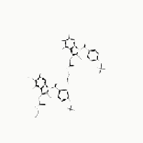 CCCNC(=O)Cc1c(C)n(C(=O)c2ccc(OC(F)(F)F)cc2)c2cc(F)c(O)c(F)c12.CCNC(=O)Cc1c(C)n(C(=O)c2ccc(OC(F)(F)F)cc2)c2cc(F)c(O)c(F)c12